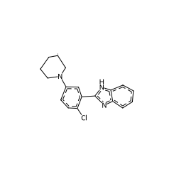 Clc1ccc(N2C[CH]CCC2)cc1-c1nc2ccccc2[nH]1